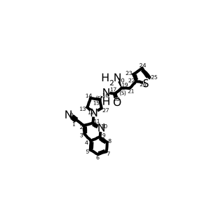 N#Cc1cc2ccccc2nc1N1CC[C@H](NC(=O)[C@@H](N)Cc2cccs2)C1